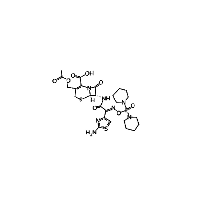 CC(=O)OCC1=C(C(=O)O)N2C(=O)[C@H](NC(=O)C(=NOP(=O)(N3CCCCC3)N3CCCCC3)c3csc(N)n3)[C@H]2SC1